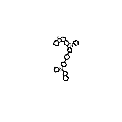 c1ccc(N(c2ccc(-c3ccc(-c4ccc5c(c4)c4cc6c(ccc7sc8ccccc8c76)cc4n5-c4ccccc4)cc3)cc2)c2ccc3ccccc3c2)cc1